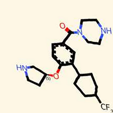 O=C(c1ccc(O[C@H]2CCNC2)c(C2CCC(C(F)(F)F)CC2)c1)N1CCNCC1